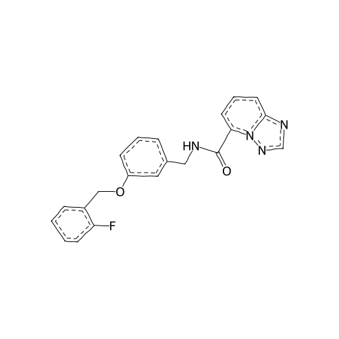 O=C(NCc1cccc(OCc2ccccc2F)c1)c1cccc2ncnn12